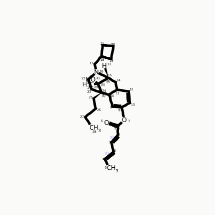 C/C=C/C=C/C(=O)OC1=CC2C(C=C1)C[C@H]1N(CC3CCC3)CC[C@]2(CCCC)[C@]1(C)O